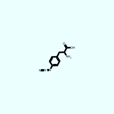 [N-]=[N+]=Nc1ccc(CC(N)C(=O)O)cc1